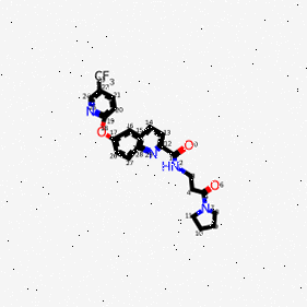 O=C(NCCC(=O)N1CCCC1)c1ccc2cc(Oc3ccc(C(F)(F)F)cn3)ccc2n1